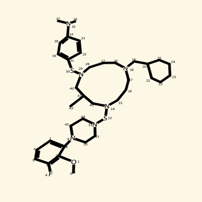 COc1c(F)cccc1N1CCN(SN2CCCN(CC3CCCCC3)CCCN(Sc3ccc(N(C)C)cc3)CC(C)C2)CC1